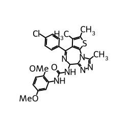 COc1ccc(OC)c(NC(=O)NC2N=C(c3ccc(Cl)cc3)c3c(sc(C)c3C)-n3c(C)nnc32)c1